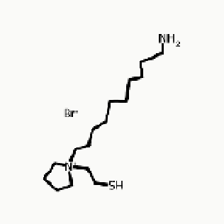 NCCCCCCCCCC[N+]1(CCS)CCCC1.[Br-]